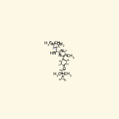 C=C/C(=C\N(C)C)C(=N)c1ncc(C)c(-c2ccc(OCC(C)(C)C3CC3)cc2)n1